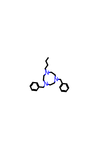 CCCCN1CCN(Cc2ccccc2)CCN(Cc2ccccc2)CC1